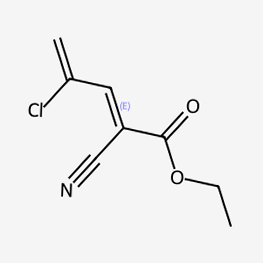 C=C(Cl)/C=C(\C#N)C(=O)OCC